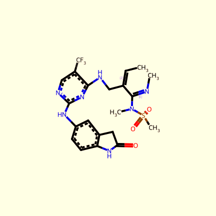 C/C=C(CNc1nc(Nc2ccc3c(c2)CC(=O)N3)ncc1C(F)(F)F)\C(=N/C)N(C)S(C)(=O)=O